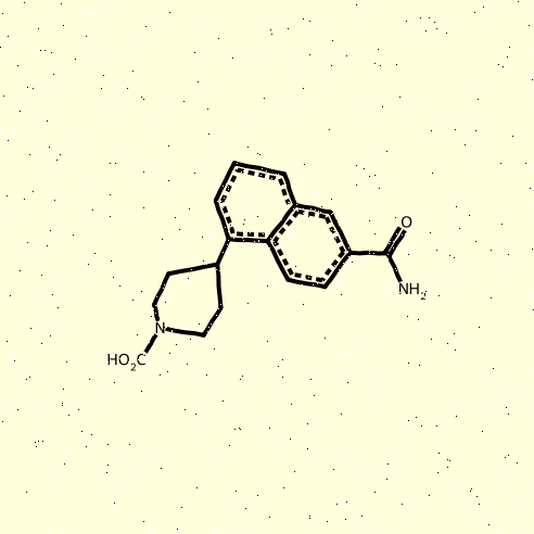 NC(=O)c1ccc2c(C3CCN(C(=O)O)CC3)cccc2c1